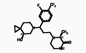 C[C@H]1C(=O)NCCN1CCC(c1ccc(C(F)(F)F)c(F)c1)N1CCC2(CC2)[C@H](O)C1